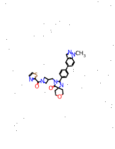 Cn1ncc2cc(-c3ccc(C4=NC5(CCOCC5)C(=O)N4CC4CN(C(=O)c5nccs5)C4)cc3)ccc21